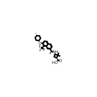 C[C@H](N[C@H]1C[C@H](C(=O)O)C1(C)C)c1ccc2ccc(O[C@H]3CC[C@@H](C)CC3)c(C(F)(F)F)c2c1